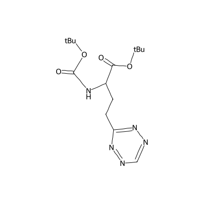 CC(C)(C)OC(=O)NC(CCc1nncnn1)C(=O)OC(C)(C)C